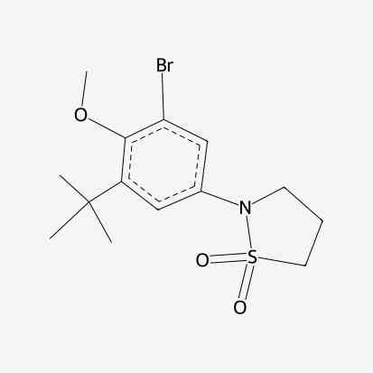 COc1c(Br)cc(N2CCCS2(=O)=O)cc1C(C)(C)C